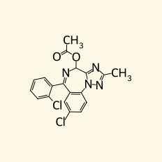 CC(=O)OC1N=C(c2ccccc2Cl)c2cc(Cl)ccc2-n2nc(C)nc21